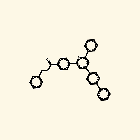 O=C(OCc1ccccc1)c1ccc(-c2cc(-c3ccc(-c4ccccc4)cc3)cc(-c3ccccc3)n2)cc1